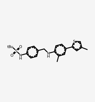 Cc1csc(-c2ccc(NCc3ccc(NS(=O)(=O)C(C)(C)C)cc3)c(C)c2)c1